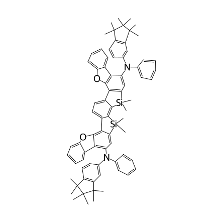 CC1(C)c2ccc(N(c3ccccc3)c3cc4c(c5oc6ccccc6c35)-c3ccc5c(c3[Si]4(C)C)[Si](C)(C)c3cc(N(c4ccccc4)c4ccc6c(c4)C(C)(C)C(C)(C)C6(C)C)c4c(oc6ccccc64)c3-5)cc2C(C)(C)C1(C)C